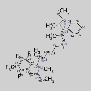 C=C/C=C(C)/C(=C(C)/C=C\C/C=C/C=C(C)/C(=C(C)/C=C\C)c1c(F)c(F)c(C(F)(F)F)c(F)c1F)c1ccccc1